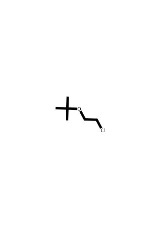 CC(C)(C)OCCCl